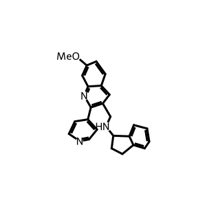 COc1ccc2cc(CNC3CCc4ccccc43)c(-c3ccncc3)nc2c1